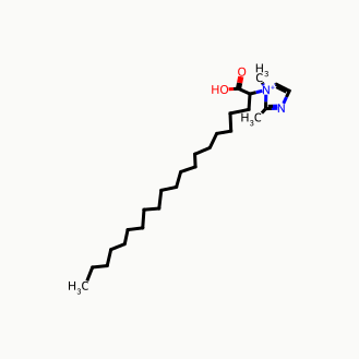 CCCCCCCCCCCCCCCCCCCC(C(=O)O)[N+]1(C)C=CN=C1C